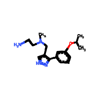 CC(C)Oc1cccc(-c2n[nH]cc2CN(C)CCN)c1